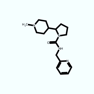 CN1CCC(C2CCCN2C(=O)NCc2ccccn2)CC1